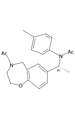 CC(=O)N1CCOc2ccc([C@@H](C)N(C(C)=O)c3ccc(C)cc3)cc2C1